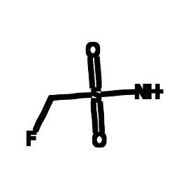 [NH]S(=O)(=O)CF